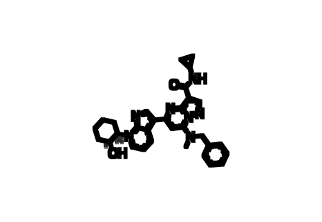 CN(Cc1ccccc1)c1cc(-c2cnc3n([C@@H]4CCCC[C@H]4O)cccc2-3)nc2c(C(=O)NC3CC3)cnn12